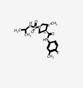 Cc1cc(NC(=O)[C@H]2CN(S(=O)(=O)NC(C)C)C[C@@H]2C)ccc1F